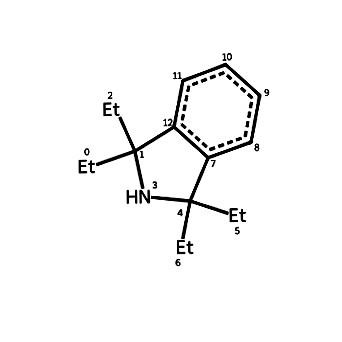 CCC1(CC)NC(CC)(CC)c2ccccc21